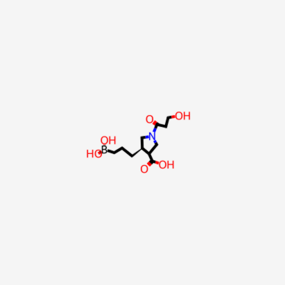 O=C(O)C1CN(C(=O)CCO)C[C@@H]1CCCB(O)O